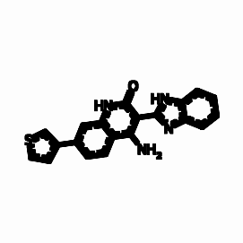 Nc1c(-c2nc3ccccc3[nH]2)c(=O)[nH]c2cc(-c3ccsc3)ccc12